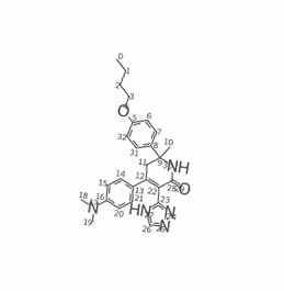 CCCCOc1ccc(C2(C)CC(c3ccc(N(C)C)cc3)=C(c3nnc[nH]3)C(=O)N2)cc1